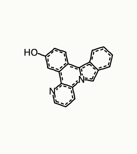 Oc1ccc2c(c1)c1ncccc1n1cc3ccccc3c21